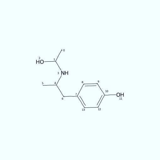 [CH2]C(O)NC(C)Cc1ccc(O)cc1